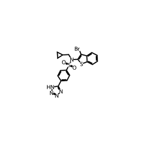 O=S(=O)(c1ccc(-c2nnn[nH]2)cc1)N(CC1CC1)c1sc2ccccc2c1Br